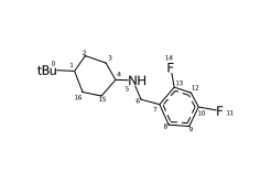 CC(C)(C)C1CCC(NCc2ccc(F)cc2F)CC1